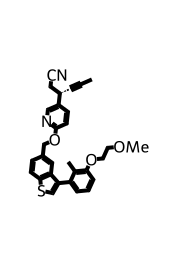 CC#C[C@@H](CC#N)c1ccc(OCc2ccc3scc(-c4cccc(OCCOC)c4C)c3c2)nc1